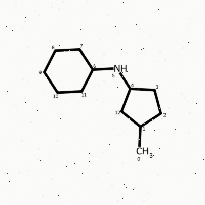 CC1CCC(NC2CCCCC2)C1